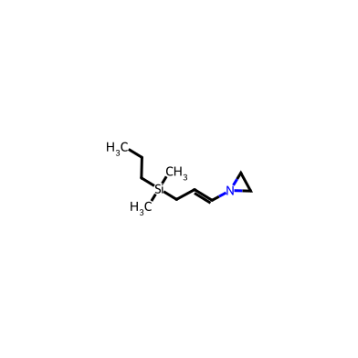 CCC[Si](C)(C)CC=CN1CC1